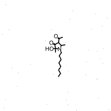 CCCCCCCCN1C(C)C(C(C)=O)C(=O)C1(C)O